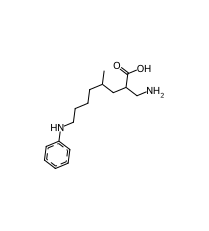 CC(CCCCNc1ccccc1)CC(CN)C(=O)O